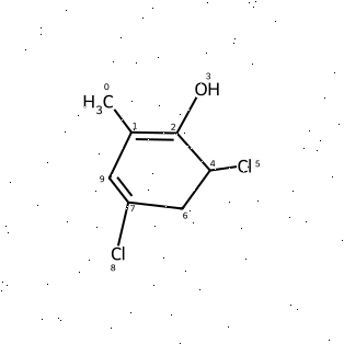 CC1=C(O)C(Cl)CC(Cl)=C1